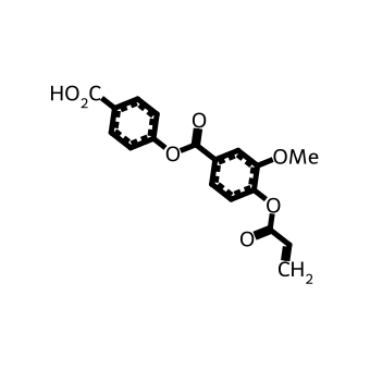 C=CC(=O)Oc1ccc(C(=O)Oc2ccc(C(=O)O)cc2)cc1OC